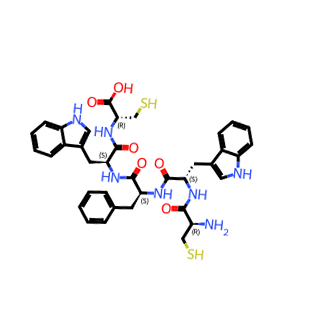 N[C@@H](CS)C(=O)N[C@@H](Cc1c[nH]c2ccccc12)C(=O)N[C@@H](Cc1ccccc1)C(=O)N[C@@H](Cc1c[nH]c2ccccc12)C(=O)N[C@@H](CS)C(=O)O